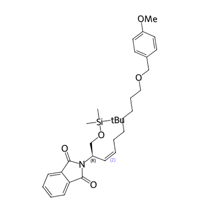 COc1ccc(COCCCCCC/C=C\[C@H](CO[Si](C)(C)C(C)(C)C)N2C(=O)c3ccccc3C2=O)cc1